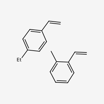 C=Cc1ccc(CC)cc1.C=Cc1ccccc1C